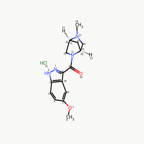 COc1ccc2[nH]nc(C(=O)N3C[C@@H]4C[C@H]3CN4C)c2c1.Cl